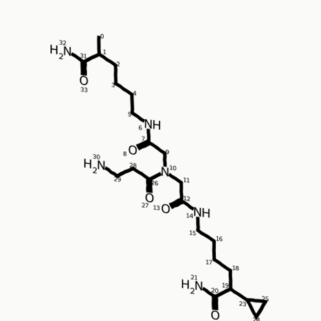 CC(CCCCNC(=O)CN(CC(=O)NCCCCC(C(N)=O)C1CC1)C(=O)CCN)C(N)=O